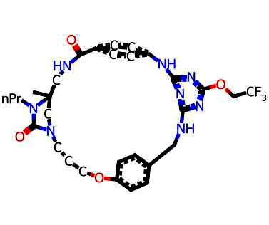 CCCN1C(=O)N2CCCOc3ccc(cc3)CNc3nc(nc(OCC(F)(F)F)n3)Nc3ccc(cc3)C(=O)NCC1(C)C2